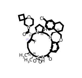 C[C@@H]1[C@@H](C)C/C=C(\F)[C@H](C(=O)N2CCOC3(CCC3)C2)N2CCC[C@H]2CN2C[C@@]3(CCCc4cc(Cl)ccc43)COc3ccc(cc32)C(=O)NS1(=O)=O